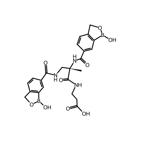 C[C@@](CNC(=O)c1ccc2c(c1)B(O)OC2)(NC(=O)c1ccc2c(c1)B(O)OC2)C(=O)NCCC(=O)O